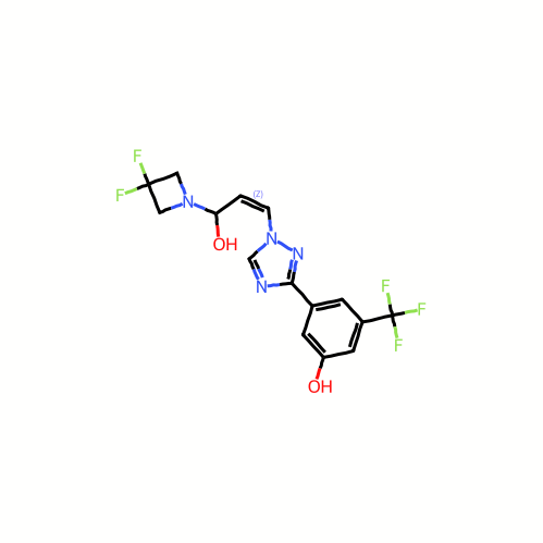 Oc1cc(-c2ncn(/C=C\C(O)N3CC(F)(F)C3)n2)cc(C(F)(F)F)c1